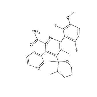 COc1ccc(F)c(-c2nc(C(N)=O)c(-c3cccnc3)c(C3(C)OCCCC3C)c2F)c1F